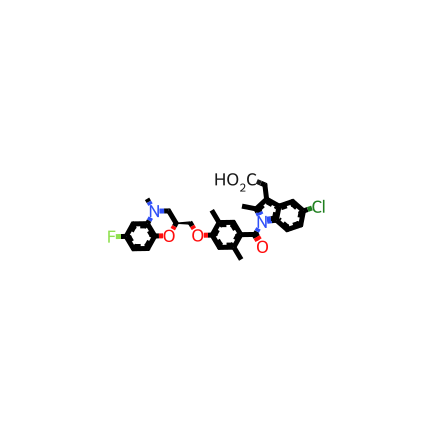 Cc1cc(C(=O)n2c(C)c(CC(=O)O)c3cc(Cl)ccc32)c(C)cc1OC[C@@H]1CN(C)c2cc(F)ccc2O1